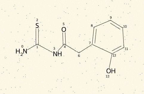 NC(=S)NC(=O)Cc1ccccc1O